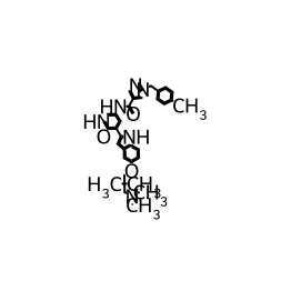 Cc1ccc(Cn2cc(C(=O)Nc3c[nH]c(=O)c(-c4cc5cc(OCC(C)(C)CN(C)C)ccc5[nH]4)c3)cn2)cc1